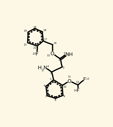 N=C(CC(N)c1ccccc1OC(F)F)OCc1ccccc1F